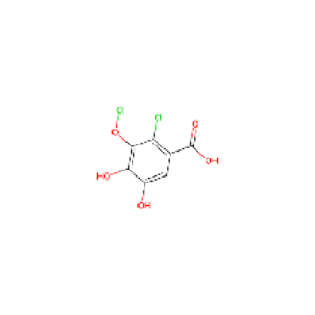 O=C(O)c1cc(O)c(O)c(OCl)c1Cl